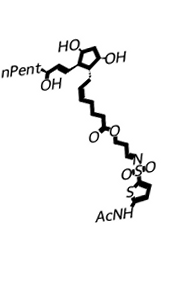 CCCCC[C@H](O)/C=C/[C@@H]1[C@@H](C/C=C\CCCC(=O)OCC/C=N/S(=O)(=O)c2ccc(NC(C)=O)s2)[C@@H](O)C[C@H]1O